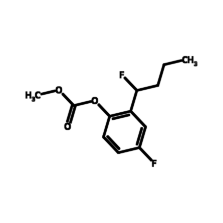 CCCC(F)c1cc(F)ccc1OC(=O)OC